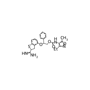 CCc1noc(C)c1NC(=O)OCC(Oc1cccc2c1CC(C(=N)N)S2)c1ccccc1